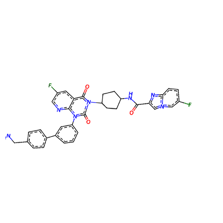 NCc1ccc(-c2cccc(-n3c(=O)n(C4CCC(NC(=O)c5cn6cc(F)ccc6n5)CC4)c(=O)c4cc(F)cnc43)c2)cc1